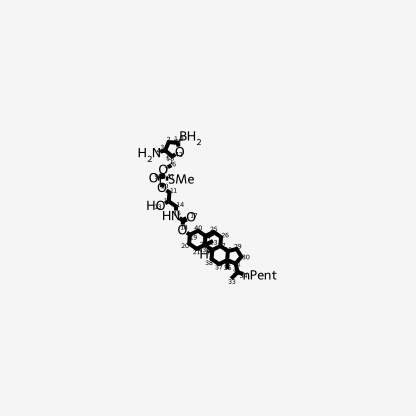 B[C@H]1CC(N)[C@@H](COP(=O)(OCC(O)CNC(=O)OC2CCC3(C)C(=CCC4C5CCC(C(C)CCCCC)C5(C)CC[C@H]43)C2)SC)O1